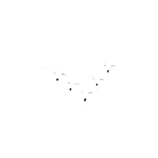 [Ba+2].[Ba+2].[Cr+3].[Cr+3].[O]=[Ti]([O-])[O-].[O]=[Ti]([O-])[O-].[O]=[Ti]([O-])[O-].[O]=[Ti]([O-])[O-].[O]=[Ti]([O-])[O-]